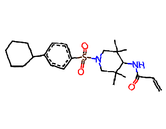 C=CC(=O)NC1C(C)(C)CN(S(=O)(=O)c2ccc(C3CCCCC3)cc2)CC1(C)C